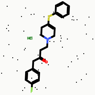 Cl.O=C(CCN1CC=C(Sc2ccccc2)CC1)Cc1ccc(F)cc1